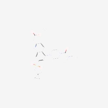 CCCCOC(=O)Nc1ccc2c(N3CCN(C(=O)N(C)C)CC3)cc(S(=O)(=O)NC3(C)CC3)cc2n1